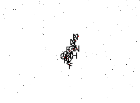 O=C(Nc1ccc(Oc2ccnc3cc(-c4ccc(CN5CCCCC5)cn4)sc23)c(F)c1)c1c2c(cn(-c3ccc(F)cc3)c1=O)CCO2